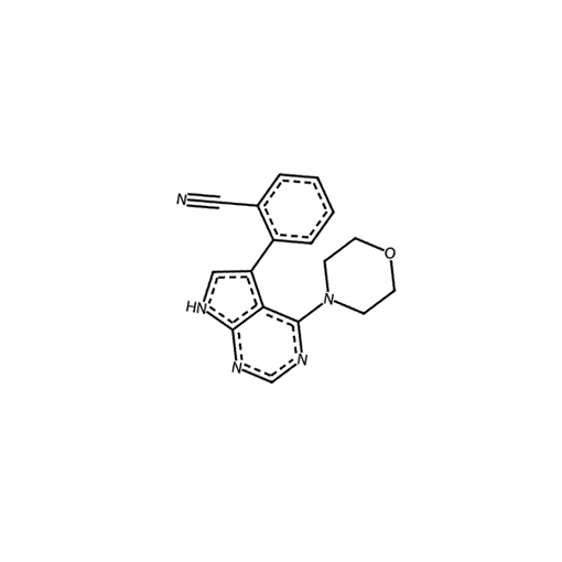 N#Cc1ccccc1-c1c[nH]c2ncnc(N3CCOCC3)c12